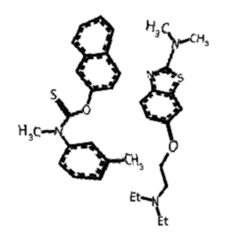 CCN(CC)CCOc1ccc2nc(N(C)C)sc2c1.Cc1cccc(N(C)C(=S)Oc2ccc3ccccc3c2)c1